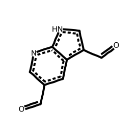 O=Cc1cnc2[nH]cc(C=O)c2c1